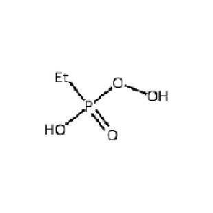 CCP(=O)(O)OO